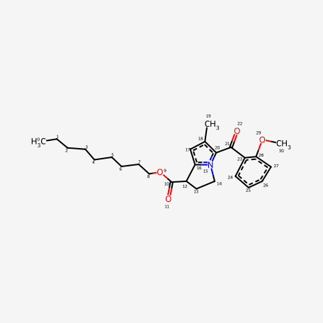 CCCCCCCCCOC(=O)C1CCn2c1cc(C)c2C(=O)c1ccccc1OC